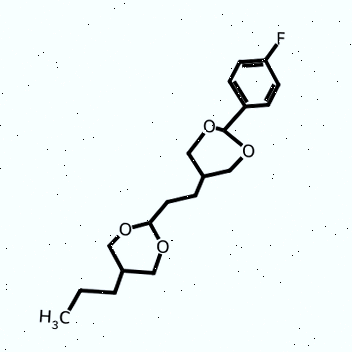 CCCC1COC(CCC2COC(c3ccc(F)cc3)OC2)OC1